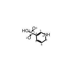 O=S(=O)(O)C1=CNCC=C1